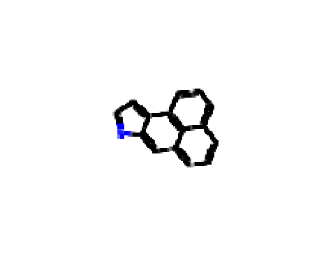 C1=Nc2cc3cccc4cccc(c2=C1)c43